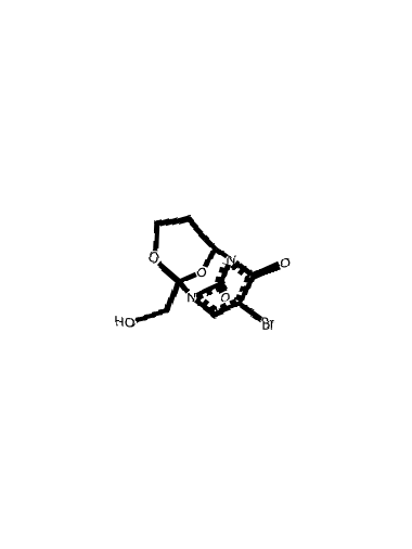 O=c1c(Br)cn2c(=O)n1C1CCOC2(CO)O1